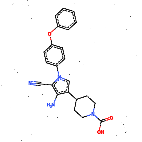 N#Cc1c(N)c(C2CCN(C(=O)O)CC2)cn1-c1ccc(Oc2ccccc2)cc1